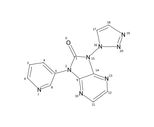 O=c1n(-c2cccnc2)c2nccnc2n1-n1ccnn1